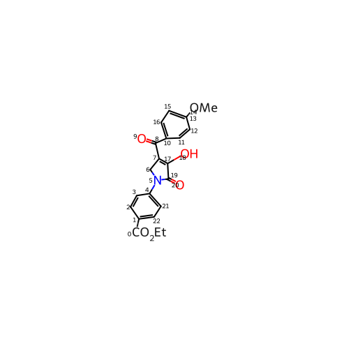 CCOC(=O)c1ccc(N2CC(C(=O)c3ccc(OC)cc3)=C(O)C2=O)cc1